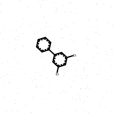 CCc1cc(CC)cc(-c2ccccc2)c1